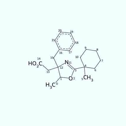 CC1OC(C2(C)CCCCC2)=NC1(CC(=O)O)Cc1ccccc1